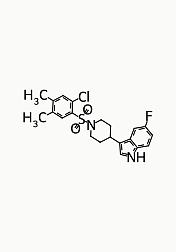 Cc1cc(Cl)c(S(=O)(=O)N2CCC(c3c[nH]c4ccc(F)cc34)CC2)cc1C